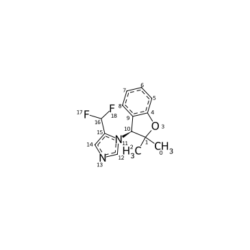 CC1(C)Oc2ccccc2[C@@H]1n1cncc1C(F)F